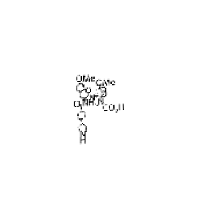 COC(=O)C[C@H]1C(=O)N(CC(=O)O)CCN1C(=O)[C@H](Cc1ccc(OC)cc1)NC(=O)c1ccc(C2CCNCC2)cc1